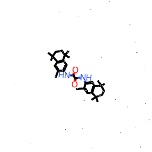 Cc1cc2c(cc1NC(=O)C(=O)Nc1cc3c(cc1C)C(C)(C)CCC3(C)C)C(C)(C)CCC2(C)C